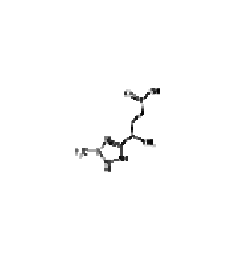 CC(CCC(=O)O)C1=NN(C)NN1